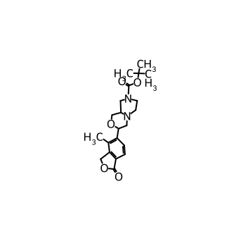 Cc1c(C2CN3CCN(C(=O)OC(C)(C)C)CC3CO2)ccc2c1COC2=O